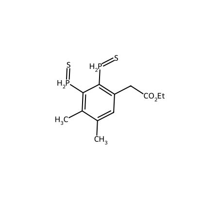 CCOC(=O)Cc1cc(C)c(C)c([PH2]=S)c1[PH2]=S